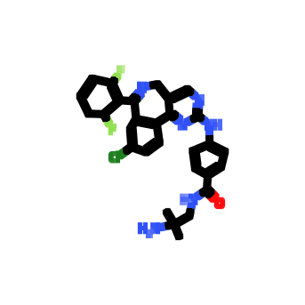 CC(C)(N)CNC(=O)c1ccc(Nc2ncc3c(n2)-c2ccc(Cl)cc2C(C2=C(F)C=CCC2F)=NC3)cc1